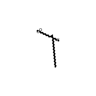 CCCCCCCCCCCCCCCCCCCC(CCN(C)C)C1CC1CCCCCCCC(=O)OC